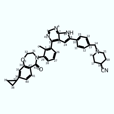 Cc1c(-c2ncnc3[nH]c(-c4ccc(CN5CCC(C#N)CC5)cc4)cc23)cccc1N1CCOc2cc(C3CC3)ccc2C1=O